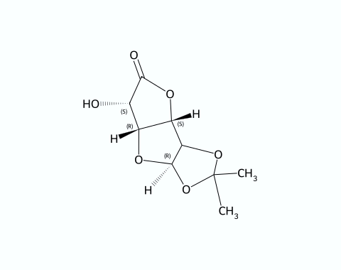 CC1(C)OC2[C@H](O[C@@H]3[C@H](O)C(=O)O[C@H]23)O1